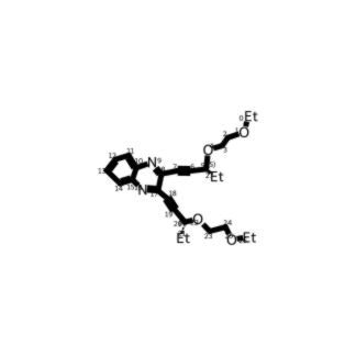 CCOCCO[C@H](C#Cc1nc2ccccc2nc1C#C[C@@H](CC)OCCOCC)CC